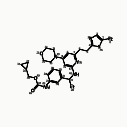 CCc1cnc(CCc2cc(N3CCOCC3)cc(NC(CC)c3cccc(NC(=O)OCC4CC4)c3)n2)s1